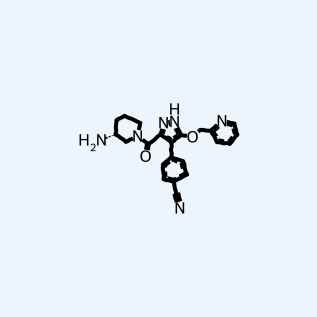 N#Cc1ccc(-c2c(C(=O)N3CCC[C@@H](N)C3)n[nH]c2OCc2ccccn2)cc1